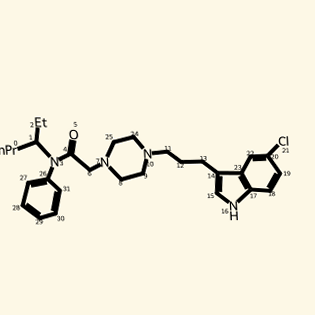 CCCC(CC)N(C(=O)CN1CCN(CCCc2c[nH]c3ccc(Cl)cc23)CC1)c1ccccc1